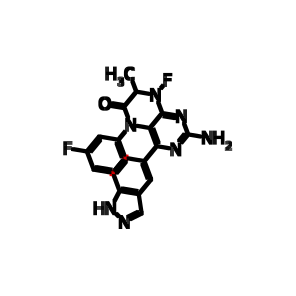 CC1C(=O)N(c2cccc(F)c2)c2c(-c3ccc4[nH]ncc4c3)nc(N)nc2N1F